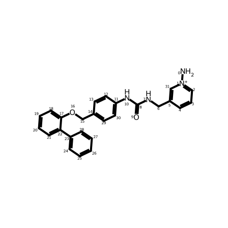 N[n+]1cccc(CNC(=O)Nc2ccc(COc3ccccc3-c3ccccc3)cc2)c1